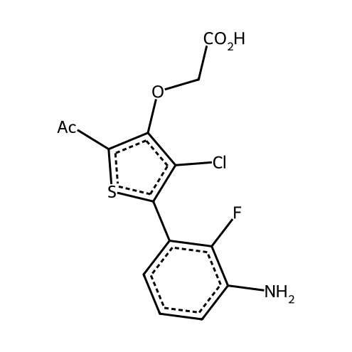 CC(=O)c1sc(-c2cccc(N)c2F)c(Cl)c1OCC(=O)O